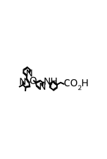 Cc1cc(Oc2ccnc(Nc3cccc(CCC(=O)O)c3)c2)c(-c2ccccn2)nc1C